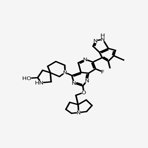 Cc1cc2[nH]ncc2c(-c2ncc3c(N4CCCC5(CNC(O)C5)C4)nc(OCC45CCCN4CCC5)nc3c2F)c1C